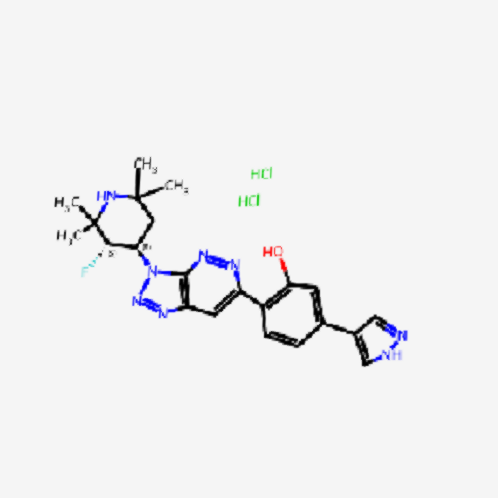 CC1(C)C[C@@H](n2nnc3cc(-c4ccc(-c5cn[nH]c5)cc4O)nnc32)[C@H](F)C(C)(C)N1.Cl.Cl